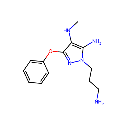 CNc1c(Oc2ccccc2)nn(CCCN)c1N